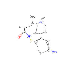 COC(C(C)C(=O)NSc1ccc(N)cc1)C1CCCN1C